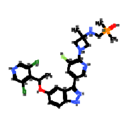 C[C@@H](Oc1ccc2[nH]nc(-c3cnc(N4CC(C)(NCP(C)(C)=O)C4)c(F)c3)c2c1)c1c(Cl)cncc1Cl